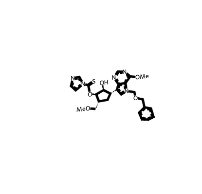 COC[C@H]1C[C@@H](c2cn(COCc3ccccc3)c3c(OC)ncnc23)[C@H](O)[C@@H]1OC(=S)n1ccnc1